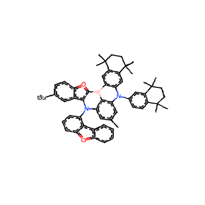 Cc1cc2c3c(c1)N(c1cccc4oc5ccccc5c14)c1c(oc4ccc(C(C)(C)C)cc14)B3c1cc3c(cc1N2c1ccc2c(c1)C(C)(C)CCC2(C)C)C(C)(C)CCC3(C)C